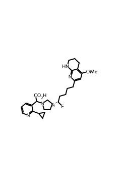 COc1cc(CCCCC(F)[C@@H]2CCN(C(C(=O)O)c3cccnc3C3CC3)C2)nc2c1CCCN2